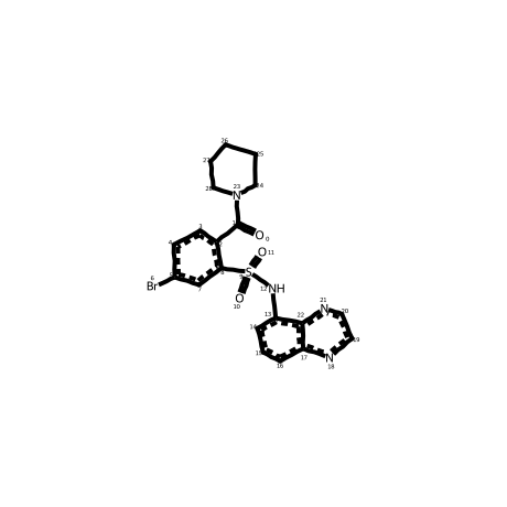 O=C(c1ccc(Br)cc1S(=O)(=O)Nc1cccc2nccnc12)N1CCCCC1